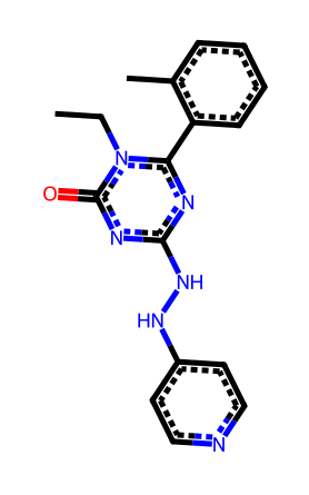 CCn1c(-c2ccccc2C)nc(NNc2ccncc2)nc1=O